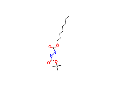 CCCCCCCCOC(=O)/N=N/C(=O)O[Si](C)(C)C